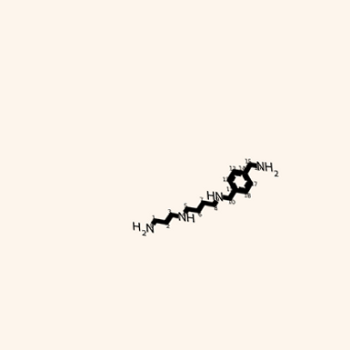 NCCCNCCCCNCc1ccc(CN)cc1